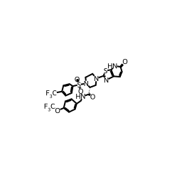 O=C(NCc1ccc(OC(F)(F)F)cc1)[C@H]1CN(c2nc3ccc(=O)[nH]c3s2)CCN1S(=O)(=O)c1ccc(C(F)(F)F)cc1